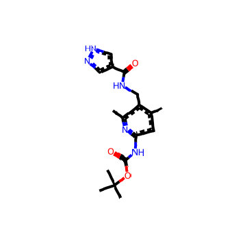 Cc1cc(NC(=O)OC(C)(C)C)nc(C)c1CNC(=O)c1cn[nH]c1